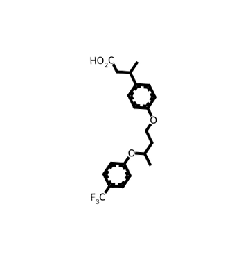 CC(CCOc1ccc(C(C)CC(=O)O)cc1)Oc1ccc(C(F)(F)F)cc1